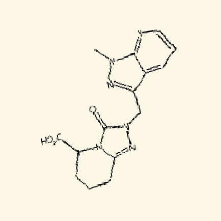 Cn1nc(Cn2nc3n(c2=O)C(C(=O)O)CCC3)c2cccnc21